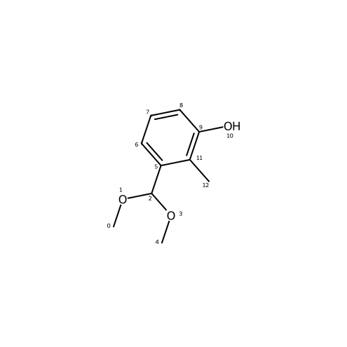 COC(OC)c1cccc(O)c1C